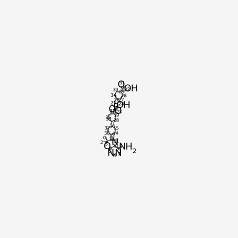 CC1(C)Oc2ncnc(N)c2N=C1C1=CCC([C@H]2CC[C@H](OP(=O)(O)Cc3ccc(C(=O)O)cc3)CC2)C=C1